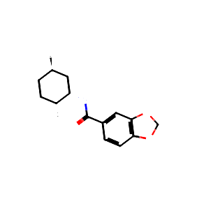 CC(C)[C@@H]1CC[C@@H](C)C[C@@H]1NC(=O)c1ccc2c(c1)OCO2